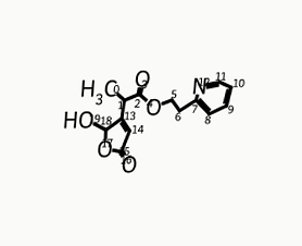 CC(C(=O)OCCc1ccccn1)C1=CC(=O)OC1O